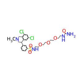 CN1Cc2c(Cl)cc(Cl)cc2C(c2cccc(S(=O)(=O)NCCOCCOCCOCCNC(N)=O)c2)C1